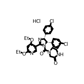 CCOc1cc(OCC)c(C2=N[C@H](c3ccc(Cl)cc3)[C@H](c3ccc(Cl)cc3)N2C(=O)N2CCNC(=O)C2)cn1.Cl